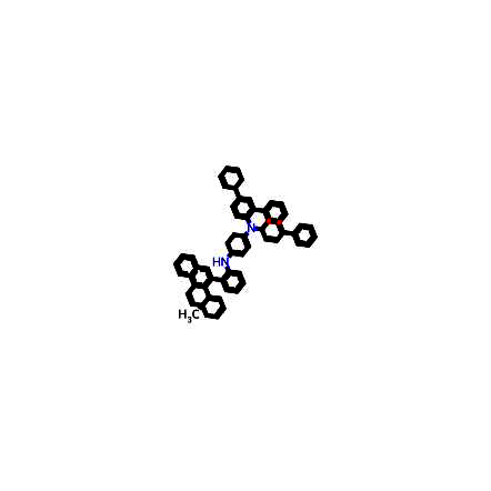 CC12C=Cc3c(c(-c4ccccc4NC4=CC=C(N(c5ccc(C6C=CC=CC6)cc5-c5ccccc5)C5C=CC(c6ccccc6)=CC5)CC4)cc4ccccc34)C1=CC=CC2